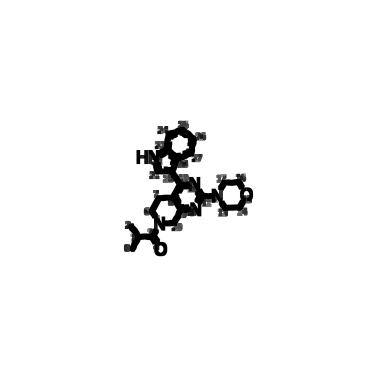 CC(C)C(=O)N1CCc2c(nc(N3CCOCC3)nc2-c2c[nH]c3ccccc23)C1